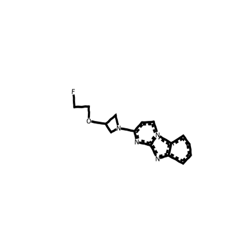 FCCOC1CN(c2ccn3c(n2)nc2ccccc23)C1